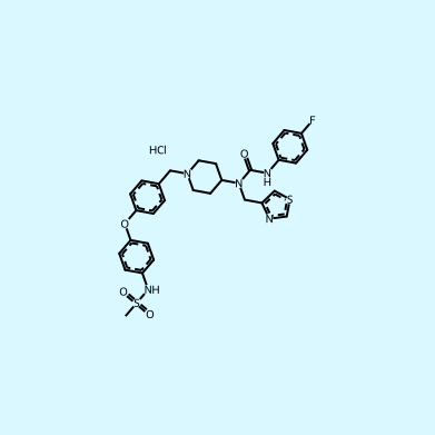 CS(=O)(=O)Nc1ccc(Oc2ccc(CN3CCC(N(Cc4cscn4)C(=O)Nc4ccc(F)cc4)CC3)cc2)cc1.Cl